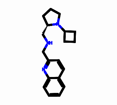 c1ccc2nc(CNC[C@@H]3CCCN3C3CCC3)ccc2c1